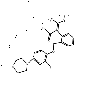 COC(C)=C(C(=O)O)c1ccccc1COc1ccc(N2CCOCC2)cc1F